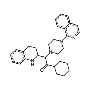 O=C(C1CCCCC1)C(C1CCc2ccccc2N1)N1CCN(c2nccc3ccccc23)CC1